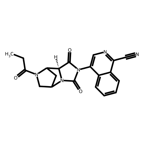 CCC(=O)N1CC2CC1[C@H]1C(=O)N(c3cnc(C#N)c4ccccc34)C(=O)N21